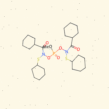 COP(=O)(ON(SC1CCCCC1)C(=O)C1CCCCC1)ON(SC1CCCCC1)C(=O)C1CCCCC1